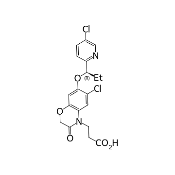 CC[C@@H](Oc1cc2c(cc1Cl)N(CCC(=O)O)C(=O)CO2)c1ccc(Cl)cn1